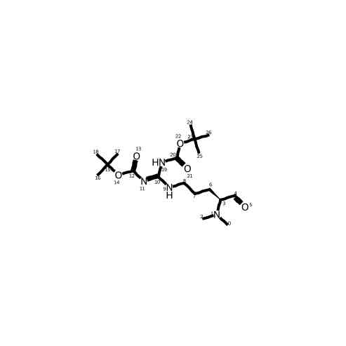 CN(C)[C@H](C=O)CCCN/C(=N/C(=O)OC(C)(C)C)NC(=O)OC(C)(C)C